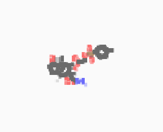 Cc1ccc(S(=O)(=O)OCC(=O)O[C@H]2C[C@]3(C)[C@H](C)CC[C@]4(CCC(=O)[C@@H]34)[C@@H](C)[C@H](O)[C@@]2(C)CN)cc1